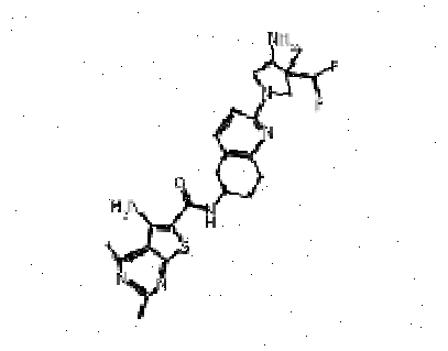 Cc1nc(C)c2c(N)c(C(=O)NC3CCc4nc(N5CC(N)C(C)(C(F)F)C5)ccc4C3)sc2n1